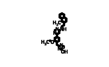 CCOc1cc(-c2cc(NCCc3ccc4ccccc4c3C)ncn2)ccc1Cc1noc(O)n1